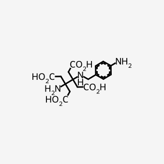 Nc1ccc(CNC(CC(=O)O)(CC(=O)O)C(N)(CC(=O)O)CC(=O)O)cc1